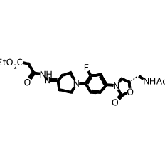 CCOC(=O)CC(=O)NN=C1CCN(c2ccc(N3C[C@H](CNC(C)=O)OC3=O)cc2F)CC1